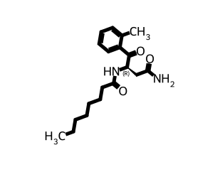 CCCCCCCC(=O)N[C@H](CC(N)=O)C(=O)c1ccccc1C